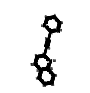 C(#Cc1ncccn1)c1ccc2ccccc2n1